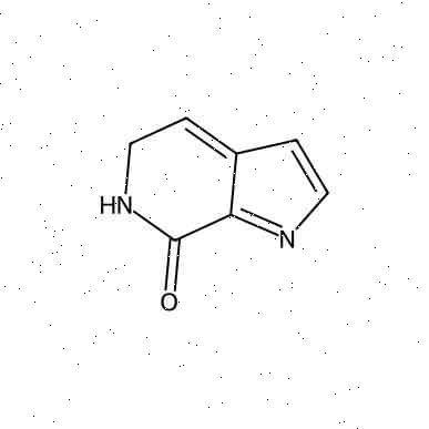 O=C1NCC=C2C=CN=C12